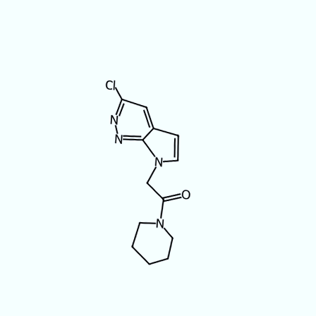 O=C(Cn1ccc2cc(Cl)nnc21)N1CCCCC1